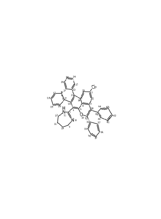 Clc1cc2c3c(c(C4=NCCCCN4)c(-c4ccccc4)c(-c4ccccc4)c3c1)OC(c1ccccc1)=C2c1ccccc1